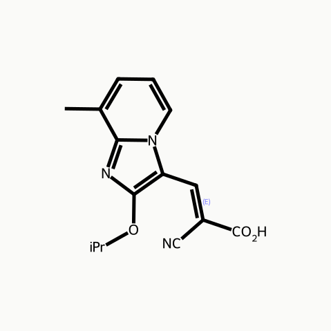 Cc1cccn2c(/C=C(\C#N)C(=O)O)c(OC(C)C)nc12